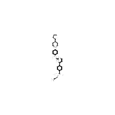 N#CCNC(=O)c1ccc(-c2ccnc(Nc3ccc(N4CCC(C5CCCO5)CC4)cc3)n2)cc1